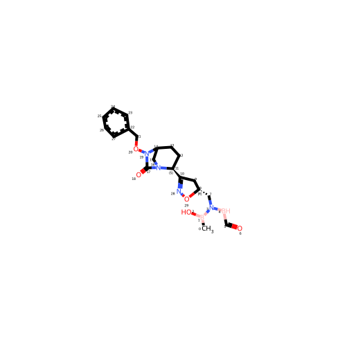 CB(O)N(BC=O)C[C@H]1CC([C@@H]2CCC3CN2C(=O)N3OCc2ccccc2)=NO1